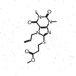 C=CCn1c(SCCC(=O)OC)nc2c1c(=O)n(I)c(=O)n2C